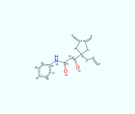 C=CCC(CC=C)(CC=C)C(=O)CC(=O)Nc1ccccc1